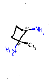 C[C@@]1(N)CC[C@H]1N